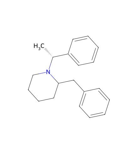 C[C@H](c1ccccc1)N1CCCCC1Cc1ccccc1